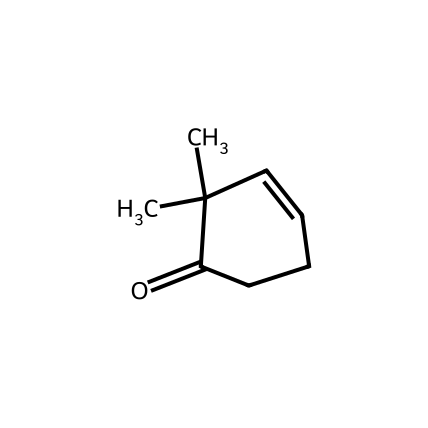 CC1(C)C=CCCC1=O